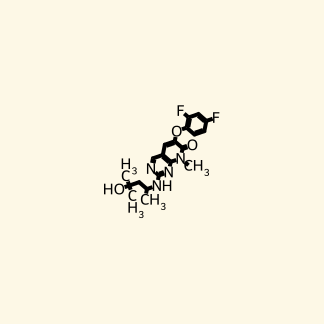 CC(CC(C)(C)O)Nc1ncc2cc(Oc3ccc(F)cc3F)c(=O)n(C)c2n1